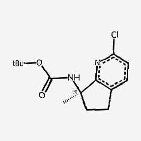 CC(C)(C)OC(=O)N[C@]1(C)CCc2ccc(Cl)nc21